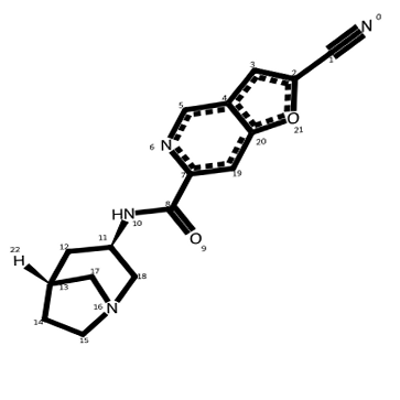 N#Cc1cc2cnc(C(=O)N[C@@H]3C[C@H]4CCN(C4)C3)cc2o1